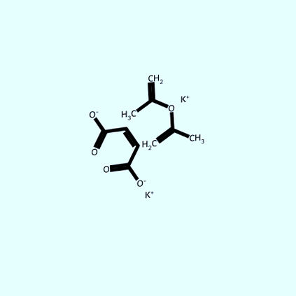 C=C(C)OC(=C)C.O=C([O-])/C=C\C(=O)[O-].[K+].[K+]